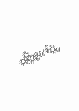 O=C(NCc1ccc(S(=O)(=O)N2CCC(C(O)(c3ccccc3)c3ccccc3)CC2)s1)c1ccc(Cl)cc1